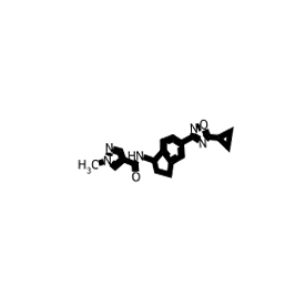 Cn1cc(C(=O)NC2CCc3cc(-c4noc(C5CC5)n4)ccc32)cn1